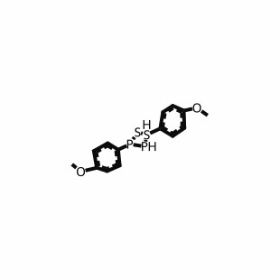 COc1ccc(P2P[SH](c3ccc(OC)cc3)S2)cc1